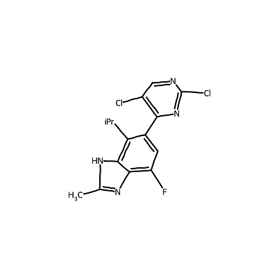 Cc1nc2c(F)cc(-c3nc(Cl)ncc3Cl)c(C(C)C)c2[nH]1